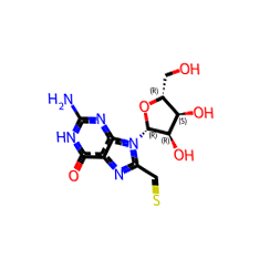 Nc1nc2c(nc(C=S)n2[C@@H]2O[C@H](CO)[C@@H](O)[C@H]2O)c(=O)[nH]1